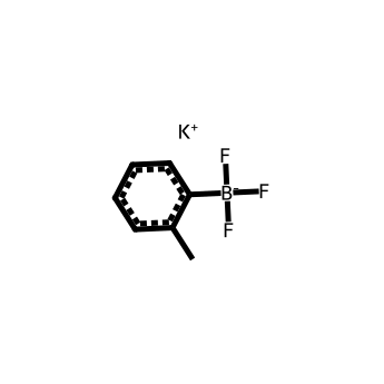 Cc1ccccc1[B-](F)(F)F.[K+]